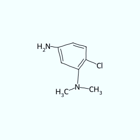 CN(C)c1cc(N)ccc1Cl